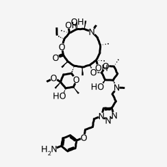 CC[C@H]1OC(=O)[C@H](C)[C@@H](C2C[C@@](C)(OC)[C@@H](O)[C@H](C)O2)[C@H](C)[C@@H](O[C@@H]2O[C@H](C)C[C@H](N(C)CCc3cn(CCCOc4ccc(N)cc4)nn3)[C@H]2O)[C@](C)(O)C[C@@H](C)CN(C)[C@H](C)[C@@H](O)[C@]1(C)O